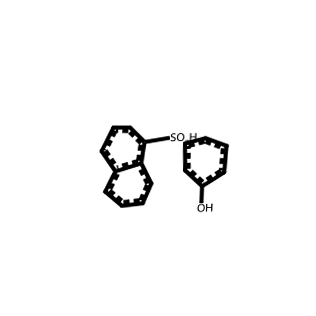 O=S(=O)(O)c1cccc2ccccc12.Oc1ccccc1